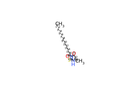 CCCCCCCCC=CCCCCCCCC(=O)n1c(=O)cc(C)[nH]c1=S